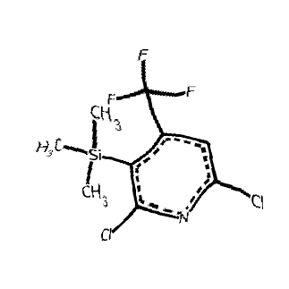 C[Si](C)(C)c1c(C(F)(F)F)cc(Cl)nc1Cl